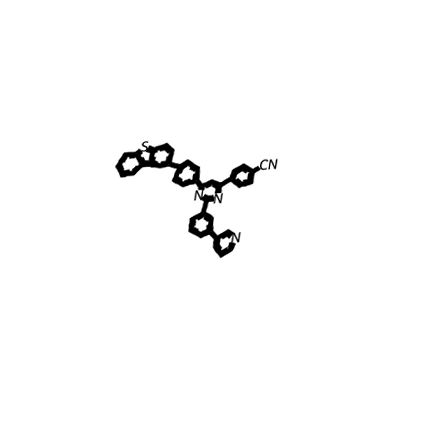 N#Cc1ccc(-c2cc(-c3ccc(-c4ccc5sc6ccccc6c5c4)cc3)nc(-c3cccc(-c4cccnc4)c3)n2)cc1